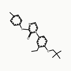 CCc1cc(-n2ccnc(Sc3ccc(C)cc3)c2=O)ccc1OCC(C)(C)C